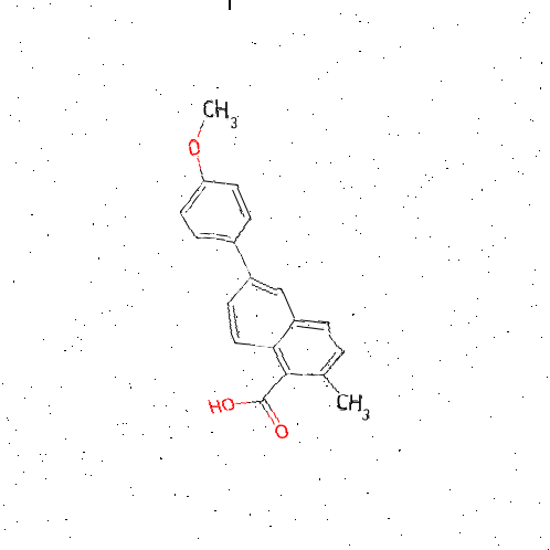 COc1ccc(-c2ccc3c(C(=O)O)c(C)ccc3c2)cc1